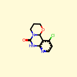 O=C1Nc2nccc(Cl)c2C2OCCCN12